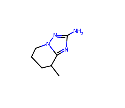 CC1CCCn2nc(N)nc21